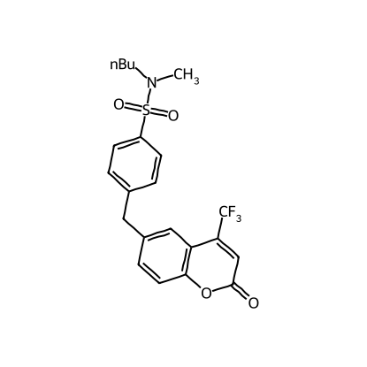 CCCCN(C)S(=O)(=O)c1ccc(Cc2ccc3oc(=O)cc(C(F)(F)F)c3c2)cc1